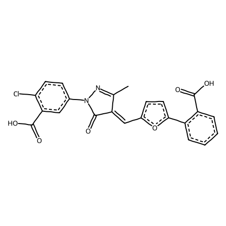 CC1=NN(c2ccc(Cl)c(C(=O)O)c2)C(=O)/C1=C/c1ccc(-c2ccccc2C(=O)O)o1